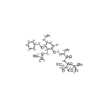 CCC/C(=C\COc1c(I)cc(CC(C)C)c(OCc2ccccc2)c1CO[Si](C)(C)C(C)(C)C)C(=O)C[C@@H](O[Si](C)(C)C(C)(C)C)C1(C(=O)OCC)O[C@H]1CC